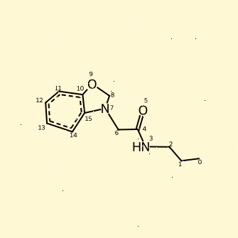 CCCNC(=O)CN1COc2ccccc21